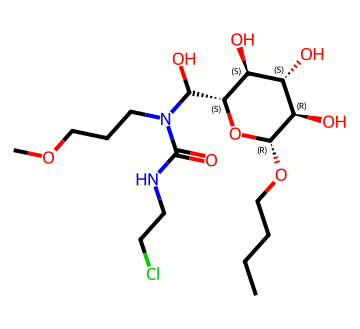 CCCCO[C@@H]1O[C@H](C(O)N(CCCOC)C(=O)NCCCl)[C@@H](O)[C@H](O)[C@H]1O